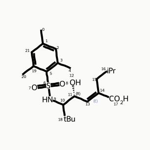 Cc1cc(C)c(S(=O)(=O)NC([C@H](O)/C=C(\CC(C)C)C(=O)O)C(C)(C)C)c(C)c1